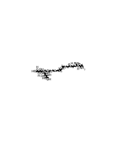 CC(C)[C@H](N)C(=O)N[C@@H](CCCCNC(=O)CCOCC(C)(C)OCC(C)(C)OCCOCCOCCOCCN(C[C@H](O)[C@@H](O)[C@H](O)[C@H](O)CO)C[C@H](O)[C@@H](O)[C@H](O)[C@H](O)CO)C(N)=O